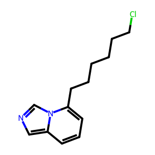 ClCCCCCCc1cccc2cncn12